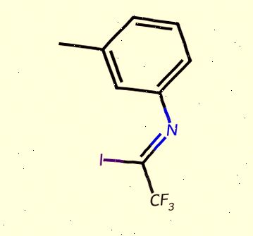 Cc1cccc(N=C(I)C(F)(F)F)c1